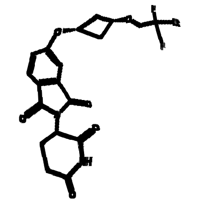 CCC(F)(F)CO[C@H]1C[C@H](Oc2ccc3c(c2)C(=O)N(C2CCC(=O)NC2=O)C3=O)C1